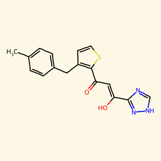 Cc1ccc(Cc2ccsc2C(=O)C=C(O)c2nc[nH]n2)cc1